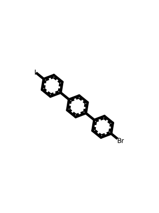 Brc1ccc(-c2ccc(-c3ccc(I)cc3)cc2)cc1